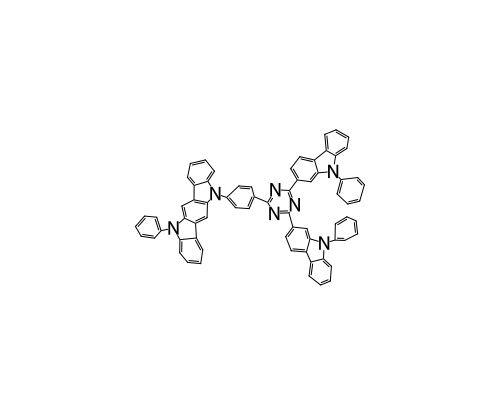 c1ccc(-n2c3ccccc3c3ccc(-c4nc(-c5ccc(-n6c7ccccc7c7cc8c(cc76)c6ccccc6n8-c6ccccc6)cc5)nc(-c5ccc6c7ccccc7n(-c7ccccc7)c6c5)n4)cc32)cc1